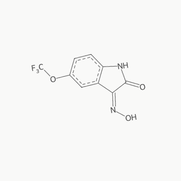 O=C1Nc2ccc(OC(F)(F)F)cc2/C1=N/O